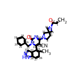 C=CC(=O)N1CC2(CCN(c3nc(=O)n(Cc4ccccc4)c(-c4c(C)ccc5[nH]ncc45)c3C#N)C2)C1